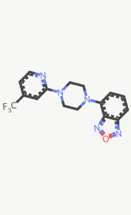 FC(F)(F)c1ccnc(N2CCN(c3cccc4nonc34)CC2)c1